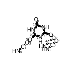 N=C=O.N=C=O.N=C=O.O=c1[nH]c(=O)[nH]c(=O)[nH]1